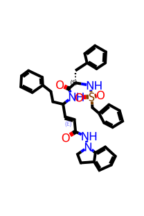 O=C(/C=C/C(CCc1ccccc1)NC(=O)[C@H](Cc1ccccc1)NS(=O)(=O)Cc1ccccc1)NN1CCc2ccccc21